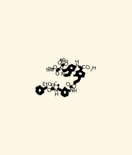 CCOC(=O)C[C@@H](NC(=O)OCc1ccccc1)c1cccc(NC(=O)OCCc2ccc(C(Nc3ccc4c(N(C(=O)OC(C)(C)C)C(=O)OC(C)(C)C)nccc4c3)C(=O)O)cc2C)c1